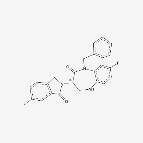 O=C1[C@@H](N2Cc3ccc(F)cc3C2=O)CNc2ccc(F)cc2N1Cc1ccccc1